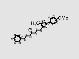 COc1ccc(-c2nc(CCCC(=O)CCCc3ccccc3)c(C)o2)cc1